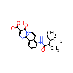 CCC(C)C(C)C(=O)Nc1cccc2c1ccn1c(=O)c(C(=O)O)cnc21